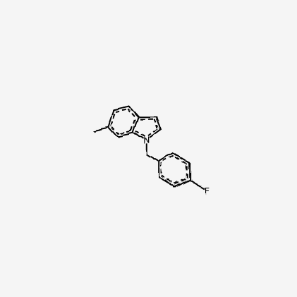 Cc1ccc2ccn(Cc3ccc(F)cc3)c2c1